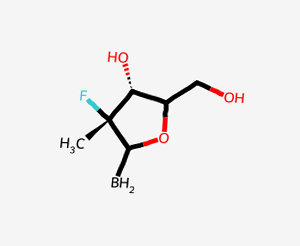 BC1OC(CO)[C@@H](O)[C@@]1(C)F